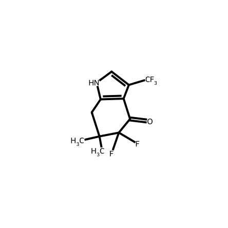 CC1(C)Cc2[nH]cc(C(F)(F)F)c2C(=O)C1(F)F